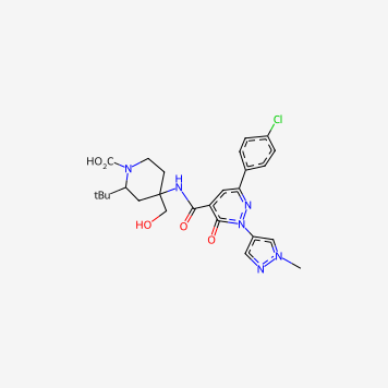 Cn1cc(-n2nc(-c3ccc(Cl)cc3)cc(C(=O)NC3(CO)CCN(C(=O)O)C(C(C)(C)C)C3)c2=O)cn1